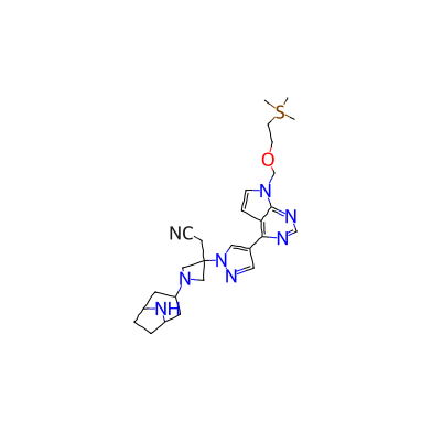 CS(C)(C)CCOCn1ccc2c(-c3cnn(C4(CC#N)CN(C5CC6CCC(C5)N6)C4)c3)ncnc21